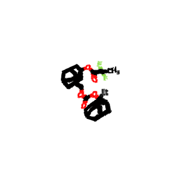 CCC1(OC(=O)OCC23CC4CC(C2)CC(OC(=O)C(C)(F)F)(C4)C3)C2CC3CC(C2)CC1C3